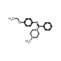 CCOc1ccc(N=C(c2ccccc2)N2CCN(C)CC2)cc1